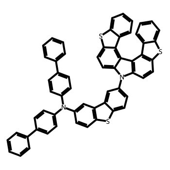 c1ccc(-c2ccc(N(c3ccc(-c4ccccc4)cc3)c3ccc4sc5ccc(-n6c7ccc8sc9ccccc9c8c7c7c8c(ccc76)sc6ccccc68)cc5c4c3)cc2)cc1